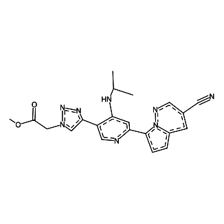 COC(=O)Cn1cc(-c2cnc(-c3ccc4cc(C#N)cnn34)cc2NC(C)C)nn1